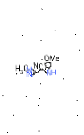 COc1ccc2[nH]cc(/C(C#N)=C/c3cnn(C)c3)c2c1